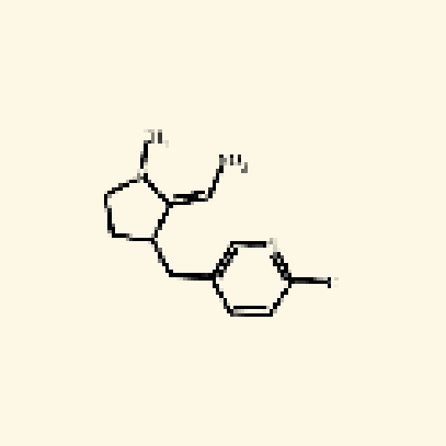 CN1CCC(Cc2ccc(Cl)nc2)C1=C[N+](=O)[O-]